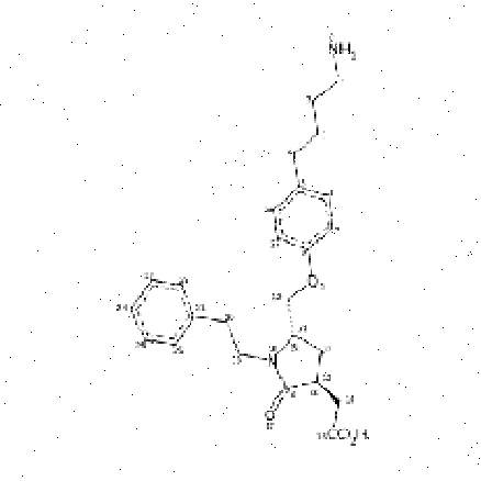 NCCCCc1ccc(OC[C@@H]2C[C@@H](CC(=O)O)C(=O)N2CCc2ccccc2)cc1